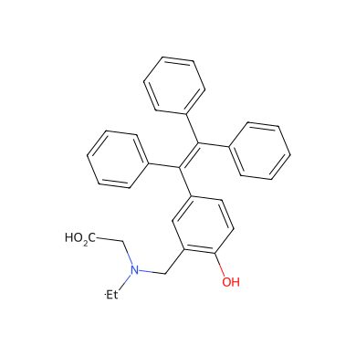 C[CH]N(CC(=O)O)Cc1cc(C(=C(c2ccccc2)c2ccccc2)c2ccccc2)ccc1O